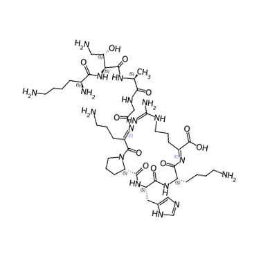 C[C@H](NC(=O)[C@@H](NC(=O)[C@@H](N)CCCCN)[C@@H](O)CN)C(=O)NCC(=O)/N=C(\CCCN)C(=O)N1CCC[C@H]1C(=O)N[C@@H](Cc1cnc[nH]1)C(=O)N[C@@H](CCCCN)C(=O)/N=C(\CCCNC(=N)N)C(=O)O